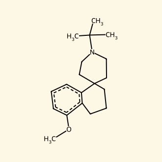 COc1cccc2c1CCCC21CCN(C(C)(C)C)CC1